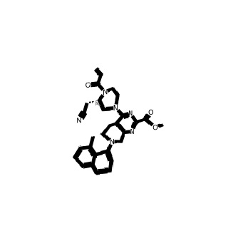 C=CC(=O)N1CCN(c2nc(C(=O)OC)nc3c2CCN(c2cccc4cccc(C)c24)C3)C[C@@H]1CC#N